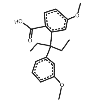 CCC(CC)(c1cccc(OC)c1)c1cc(OC)ccc1C(=O)O